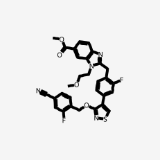 COCCn1c(Cc2ccc(-c3csnc3OCc3ccc(C#N)cc3F)cc2F)nc2ccc(C(=O)OC)cc21